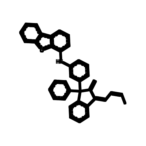 C=C1/C(=C\C=C/C)c2ccccc2C1(c1ccccc1)c1cccc(Nc2cccc3c2oc2ccccc23)c1